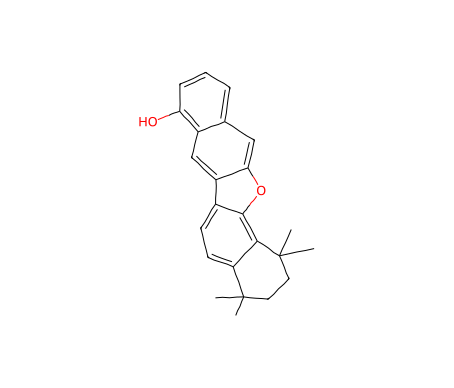 CC1(C)CCC(C)(C)c2c1ccc1c2oc2cc3cccc(O)c3cc21